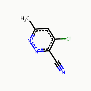 Cc1cc(Cl)c(C#N)nn1